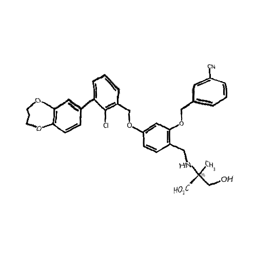 C[C@](CO)(NCc1ccc(OCc2cccc(-c3ccc4c(c3)OCCO4)c2Cl)cc1OCc1cccc(C#N)c1)C(=O)O